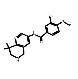 CC(C)Oc1ccc(C(=O)Nc2cnc3c(c2)CNCC3(C)C)cc1C(F)(F)F